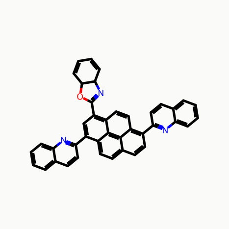 C1=CC2N=C(c3cc(-c4ccc5ccccc5n4)c4ccc5ccc(-c6ccc7ccccc7n6)c6ccc3c4c56)OC2C=C1